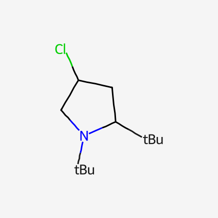 CC(C)(C)C1CC(Cl)CN1C(C)(C)C